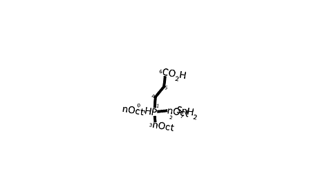 CCCCCCCC[PH](CCCCCCCC)(CCCCCCCC)CCC(=O)O.[SnH2]